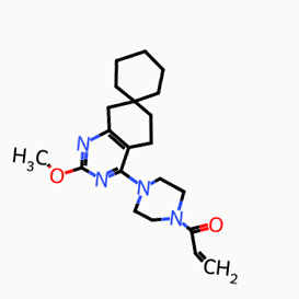 C=CC(=O)N1CCN(c2nc(OC)nc3c2CCC2(CCCCC2)C3)CC1